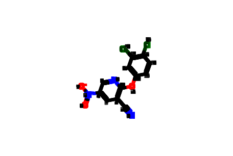 N#Cc1cc([N+](=O)[O-])cnc1Oc1ccc(Cl)c(Cl)c1